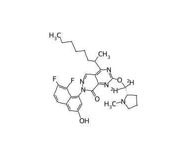 [2H]C([2H])(Oc1nc(C(C)CCCCCC)c2cnn(-c3cc(O)cc4ccc(F)c(F)c34)c(=O)c2n1)[C@@H]1CCCN1C